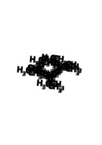 CC(C)(C)c1ccc(N(c2ccc(C(C)(C)C)cc2)c2ccc3cc4c5cc(C(C)(C)C)cc6c7cc8ccc(N(c9ccc(C(C)(C)C)cc9)c9ccc(C(C)(C)C)cc9)cc8cc7n(c4cc3c2)c56)cc1